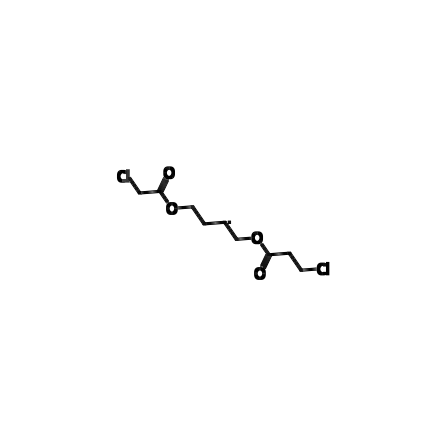 O=C(CCl)OCC[CH]COC(=O)CCCl